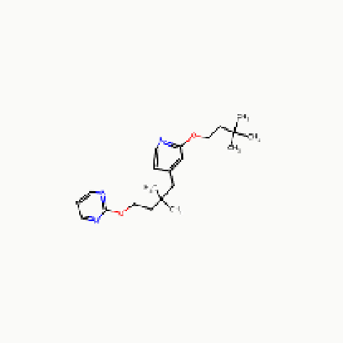 CC(C)(C)CCOc1cc(CC(C)(C)CCOc2ncccn2)ccn1